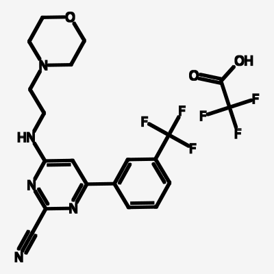 N#Cc1nc(NCCN2CCOCC2)cc(-c2cccc(C(F)(F)F)c2)n1.O=C(O)C(F)(F)F